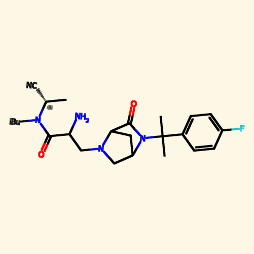 CCC(C)N(C(=O)C(N)CN1CC2CC1C(=O)N2C(C)(C)c1ccc(F)cc1)[C@@H](C)C#N